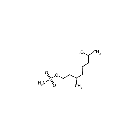 CC(C)CCCC(C)CCOS(N)(=O)=O